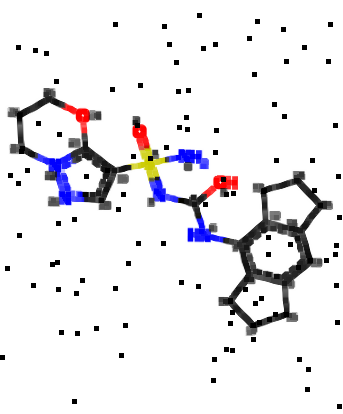 NS(=O)(=NC(O)Nc1c2c(cc3c1CCC3)CCC2)c1cnn2c1OCCC2